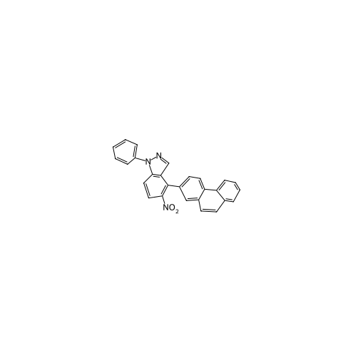 O=[N+]([O-])c1ccc2c(cnn2-c2ccccc2)c1-c1ccc2c(ccc3ccccc32)c1